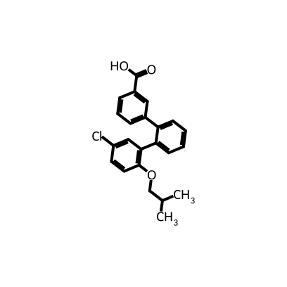 CC(C)COc1ccc(Cl)cc1-c1ccccc1-c1cccc(C(=O)O)c1